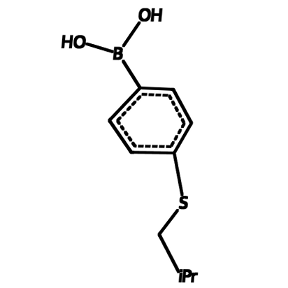 CC(C)CSc1ccc(B(O)O)cc1